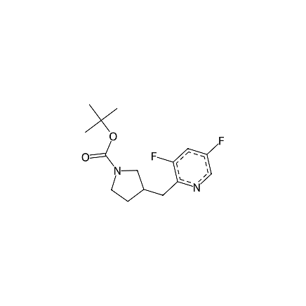 CC(C)(C)OC(=O)N1CCC(Cc2ncc(F)cc2F)C1